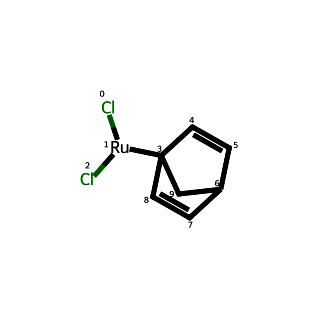 [Cl][Ru]([Cl])[C]12C=CC(C=C1)C2